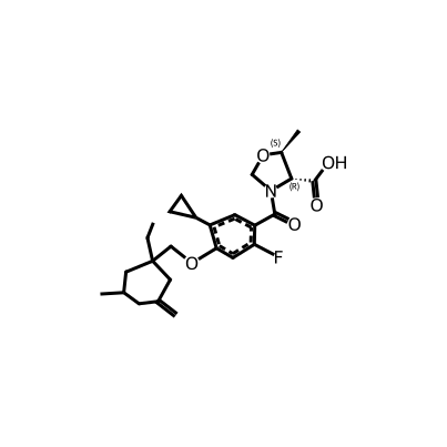 C=C1CC(C)CC(CC)(COc2cc(F)c(C(=O)N3CO[C@@H](C)[C@@H]3C(=O)O)cc2C2CC2)C1